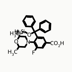 CC1CN(c2c(F)cc(C(=O)O)cc2C(O[SiH2]C(C)(C)C)(c2ccccc2)c2ccccc2)CC(C)O1